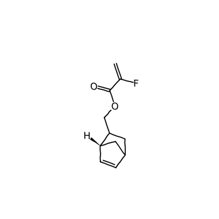 C=C(F)C(=O)OCC1CC2C=C[C@H]1C2